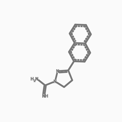 N=C(N)N1CCC(c2ccc3ccccc3c2)=N1